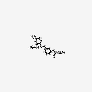 CCCNc1nc(N)ncc1OCc1cccc(CC(=O)OC)c1